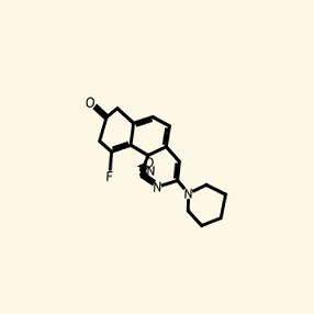 O=C1CC2=CC=C3C=C(N4CCCCC4)N=C4N=COC34C2=C(F)C1